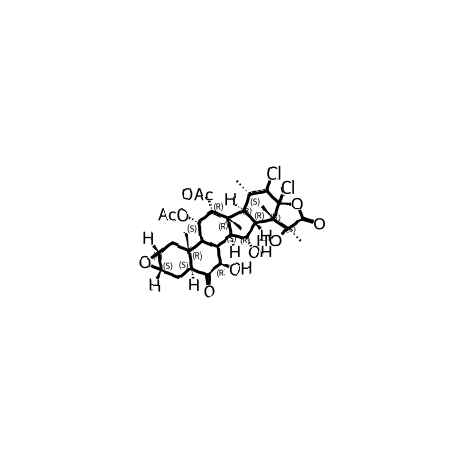 CC(=O)O[C@H]1C2C([C@@H]3[C@@H](O)[C@@H]4[C@H]([C@H](C)C(Cl)C5(Cl)OC(=O)[C@@](C)(O)[C@]45C)[C@@]3(C)[C@H]1OC(C)=O)[C@@H](O)C(=O)[C@H]1C[C@@H]3O[C@@H]3C[C@]21C